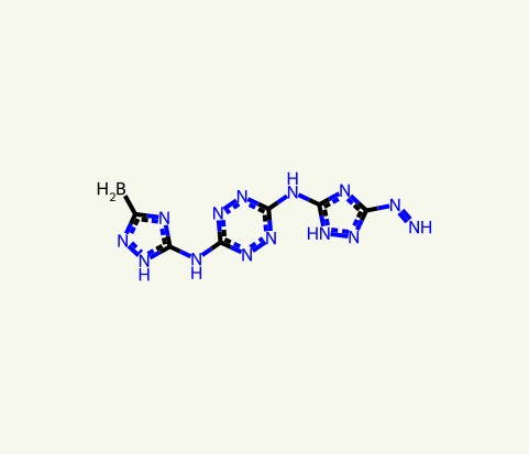 Bc1n[nH]c(Nc2nnc(Nc3nc(N=N)n[nH]3)nn2)n1